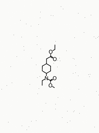 CCOC(=O)CC1CCC(N(CC)C(=O)OC)CC1